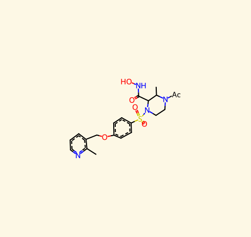 CC(=O)N1CCN(S(=O)(=O)c2ccc(OCc3cccnc3C)cc2)C(C(=O)NO)C1C